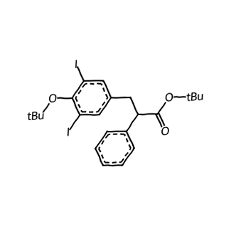 CC(C)(C)OC(=O)C(Cc1cc(I)c(OC(C)(C)C)c(I)c1)c1ccccc1